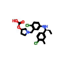 CC[C@@H](Nc1ccc(Cl)c(CN2CC[C@@H](OC(=O)O)C2)c1)c1ccc(Cl)c(C)c1